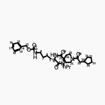 CCCN1C(=O)[C@H](CCCCNC(=O)OCc2ccccc2)NC(=O)C12CCN(C(=O)CC1CCCC1)CC2